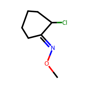 CON=C1CCCCC1Cl